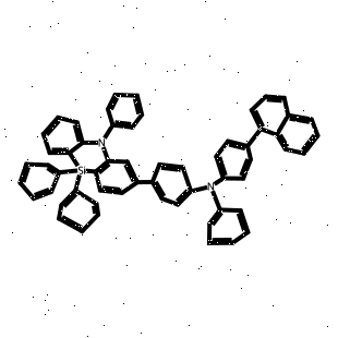 c1ccc(N(c2ccc(-c3ccc4c(c3)N(c3ccccc3)c3ccccc3[Si]4(c3ccccc3)c3ccccc3)cc2)c2ccc(-c3cccc4ccccc34)cc2)cc1